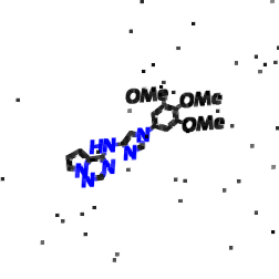 COc1cc(-n2cnc(Nc3ncnn4cccc34)c2)cc(OC)c1OC